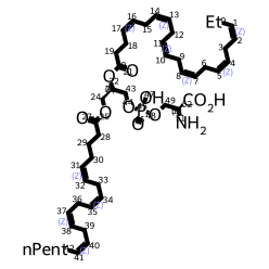 CC/C=C\C/C=C\C/C=C\C/C=C\C/C=C\C/C=C\CCC(=O)O[C@H](COC(=O)CCC/C=C\C/C=C\C/C=C\C/C=C\CCCCC)COP(=O)(O)OC[C@H](N)C(=O)O